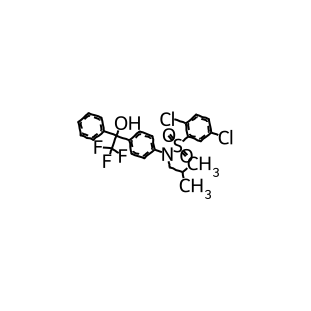 CC(C)CN(c1ccc(C(O)(c2ccccc2)C(F)(F)F)cc1)S(=O)(=O)c1cc(Cl)ccc1Cl